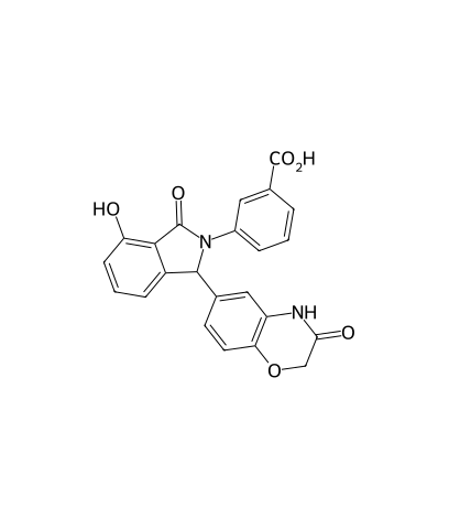 O=C1COc2ccc(C3c4cccc(O)c4C(=O)N3c3cccc(C(=O)O)c3)cc2N1